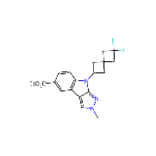 CCOC(=O)c1ccc2c(c1)c1cn(C)nc1n2C1CC2(C1)CC(F)(F)C2